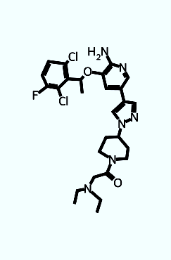 CCN(CC)CC(=O)N1CCC(n2cc(-c3cnc(N)c(OC(C)c4c(Cl)ccc(F)c4Cl)c3)cn2)CC1